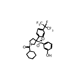 O=C(C1CCCCC1)N1CCC(c2ccc(C(F)(C(F)(F)F)C(F)(F)F)cc2)(S(=O)(=O)c2cccc(O)c2)C1